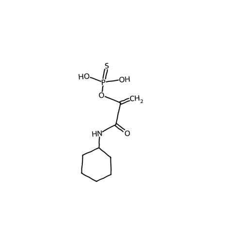 C=C(OP(O)(O)=S)C(=O)NC1CCCCC1